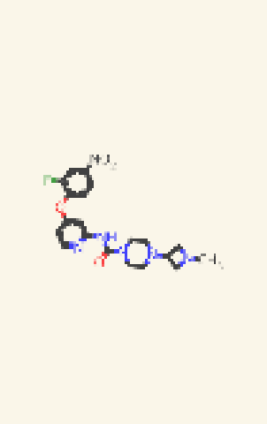 CN1CC(N2CCN(C(=O)Nc3cc(Oc4ccc([N+](=O)[O-])cc4F)ccn3)CC2)C1